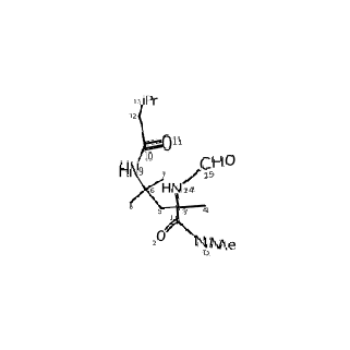 CNC(=O)C(C)(CC(C)(C)NC(=O)CC(C)C)NC=O